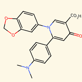 CN(C)c1ccc(-c2cc(=O)c(C(=O)O)cn2-c2ccc3c(c2)OCO3)cc1